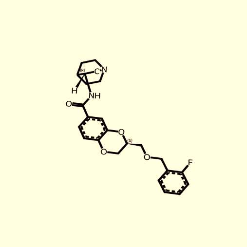 O=C(N[C@H]1CN2CCC1CC2)c1ccc2c(c1)O[C@@H](COCc1ccccc1F)CO2